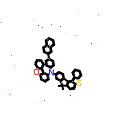 CC1(C)c2cc(N(c3ccc(-c4ccc5ccccc5c4)cc3)c3cccc4oc5ccccc5c34)ccc2-c2c1ccc1sc3ccccc3c21